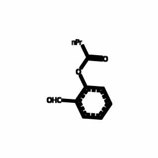 [CH2]CCC(=O)Oc1ccccc1C=O